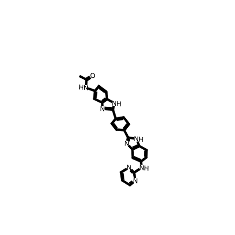 CC(=O)Nc1ccc2[nH]c(-c3ccc(-c4nc5cc(Nc6ncccn6)ccc5[nH]4)cc3)nc2c1